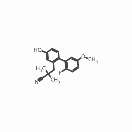 COc1ccc(F)c(-c2ccc(O)cc2CC(C)(C)C#N)c1